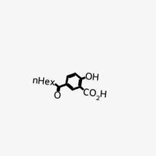 CCCCCCC(=O)c1ccc(O)c(C(=O)O)c1